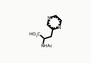 CC(=O)NC(Cc1cnccn1)C(=O)O